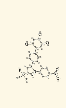 O=[N+]([O-])c1ccc(-n2nc(C(F)(F)F)cc2-c2ccc(-c3cc(Cl)c(Cl)cc3Cl)cc2)cc1